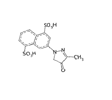 CC1=NN(c2cc(S(=O)(=O)O)c3cccc(S(=O)(=O)O)c3c2)CC1=O